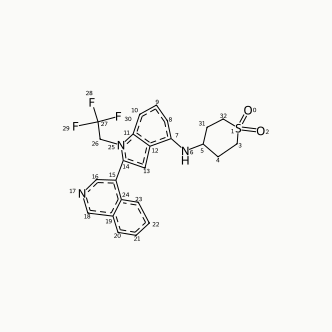 O=S1(=O)CCC(Nc2cccc3c2cc(-c2cncc4ccccc24)n3CC(F)(F)F)CC1